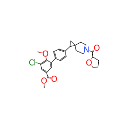 COC(=O)c1cc(Cl)c(OC)c(-c2ccc(C3CC34CCN(C(=O)C3CCCO3)CC4)cc2)c1